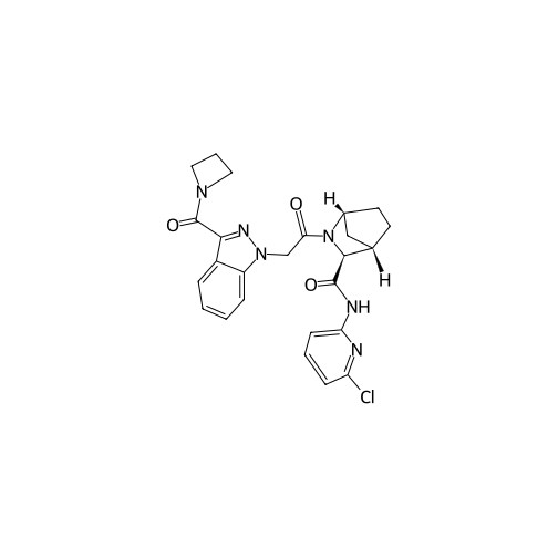 O=C(Nc1cccc(Cl)n1)[C@@H]1[C@H]2CC[C@H](C2)N1C(=O)Cn1nc(C(=O)N2CCC2)c2ccccc21